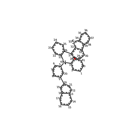 c1ccc(N(c2cccc(-c3ccc4ccccc4c3)c2)c2ccccc2-c2cccc3c2sc2ccccc23)cc1